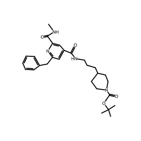 CNC(=O)c1cc(C(=O)NCCCC2CCN(C(=O)OC(C)(C)C)CC2)cc(Cc2ccccc2)n1